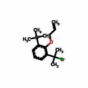 C=CCOc1c(C(C)(C)Br)cccc1[Si](C)(C)C